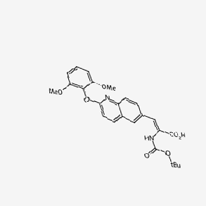 COc1cccc(OC)c1Oc1ccc2cc(C=C(NC(=O)OC(C)(C)C)C(=O)O)ccc2n1